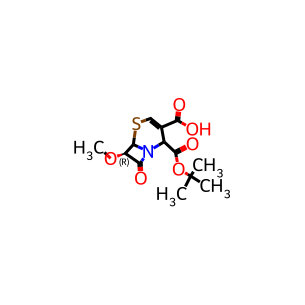 CO[C@@H]1C(=O)N2C(C(=O)OC(C)(C)C)C(C(=O)O)=CSC12